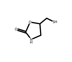 O=C1NCC(CS)O1